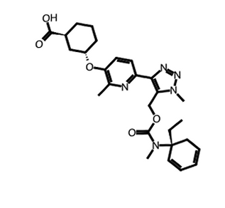 CC[C@]1(N(C)C(=O)OCc2c(-c3ccc(O[C@H]4CCC[C@H](C(=O)O)C4)c(C)n3)nnn2C)C=CC=CC1